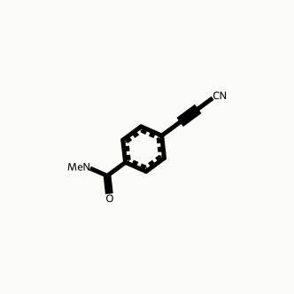 CNC(=O)c1ccc(C#CC#N)cc1